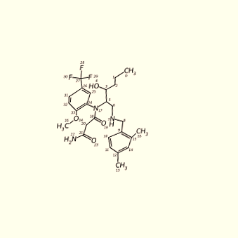 CCCC(O)C(CNCc1ccc(C)cc1C)N(C(=O)CC(N)=O)c1cc(C(F)(F)F)ccc1OC